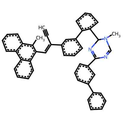 C#C/C(=C\c1c(C)c2ccccc2c2ccccc12)c1cccc(-c2ccccc2C2N=C(c3cccc(-c4ccccc4)c3)N=CN2C)c1